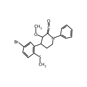 COC1C(=C=O)N(c2ccccc2)CCC1c1cc(Br)ccc1SC